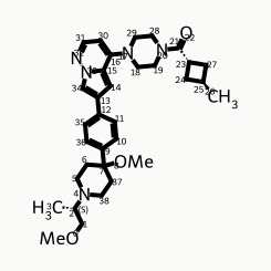 COC[C@H](C)N1CCC(OC)(c2ccc(-c3cc4c(N5CCN(C(=O)[C@H]6C[C@H](C)C6)CC5)ccnn4c3)cc2)CC1